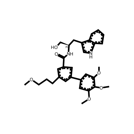 COCCCc1cc(C(=O)N[C@@H](CO)Cc2c[nH]c3ccccc23)cc(-c2cc(OC)c(OC)c(OC)c2)c1